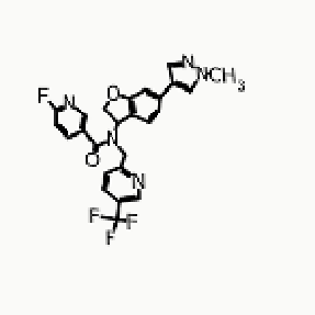 Cn1cc(-c2ccc3c(c2)OCC3N(Cc2ccc(C(F)(F)F)cn2)C(=O)c2ccc(F)nc2)cn1